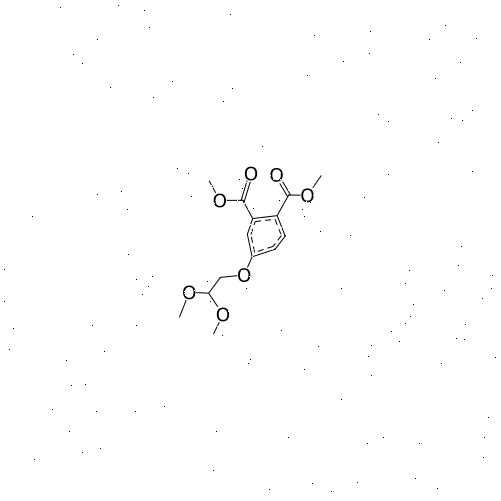 COC(=O)c1ccc(OCC(OC)OC)cc1C(=O)OC